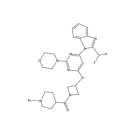 CC(=O)N1CCC(C(=O)N2CC(Oc3cc(-n4c(C(F)F)nc5ccccc54)nc(N4CCOCC4)n3)C2)CC1